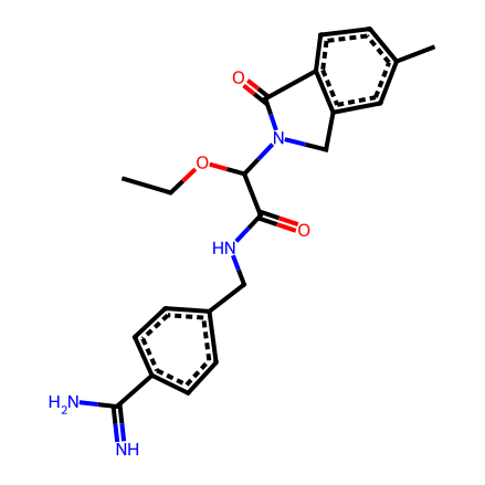 CCOC(C(=O)NCc1ccc(C(=N)N)cc1)N1Cc2cc(C)ccc2C1=O